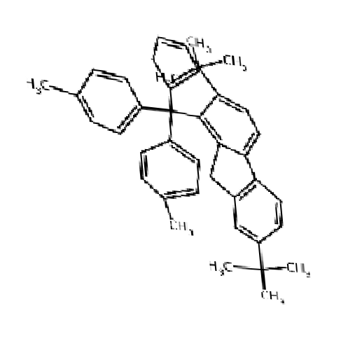 Cc1ccc(C(C2=CC=CC2)(c2ccc(C)cc2)c2c(C(C)(C)C)ccc3c2Cc2cc(C(C)(C)C)ccc2-3)cc1